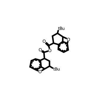 CC(C)(C)C1CC(C(=O)OC(=O)C2CC(C(C)(C)C)C3Oc4cccc2c43)c2cccc3c2C1O3